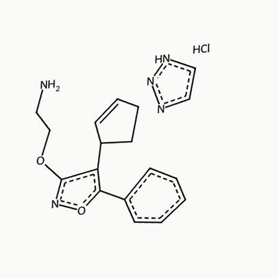 Cl.NCCOc1noc(-c2ccccc2)c1C1C=CCC1.c1c[nH]nn1